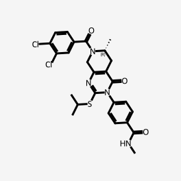 CNC(=O)c1ccc(-n2c(SC(C)C)nc3c(c2=O)C[C@@H](C)N(C(=O)c2ccc(Cl)c(Cl)c2)C3)cc1